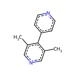 Cc1cncc(C)c1-c1ccncc1